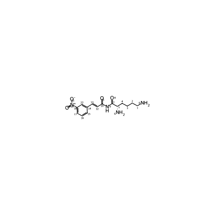 NCCCC[C@H](N)C(=O)NC(=O)/C=C/c1cccc([N+](=O)[O-])c1